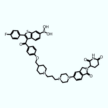 O=C1CCC(N2Cc3cc(N4CCN(CCCN5CCC(COc6ccc(C(=O)c7c(-c8ccc(F)cc8)sc8cc(B(O)O)ccc78)cc6)CC5)CC4)ccc3C2=O)C(=O)N1